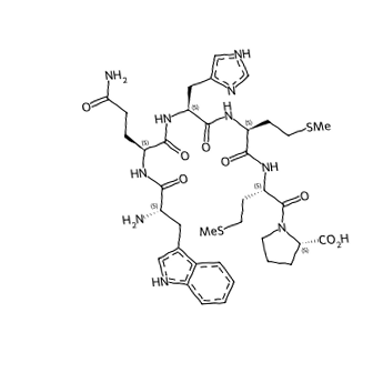 CSCC[C@H](NC(=O)[C@H](Cc1c[nH]cn1)NC(=O)[C@H](CCC(N)=O)NC(=O)[C@@H](N)Cc1c[nH]c2ccccc12)C(=O)N[C@@H](CCSC)C(=O)N1CCC[C@H]1C(=O)O